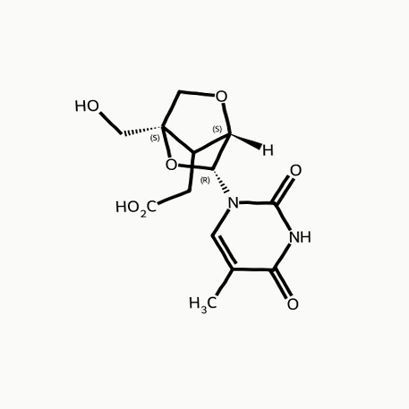 Cc1cn([C@@H]2O[C@@]3(CO)CO[C@H]2C3CC(=O)O)c(=O)[nH]c1=O